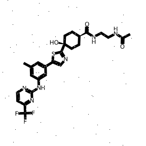 CC(=O)NCCNC(=O)[C@H]1CC[C@](O)(c2ncc(-c3cc(C)cc(Nc4nccc(C(F)(F)F)n4)c3)s2)CC1